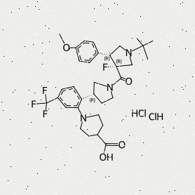 COc1ccc([C@@H]2CN(C(C)(C)C)C[C@@]2(F)C(=O)N2CC[C@H](c3ccc(C(F)(F)F)cc3N3CCC(C(=O)O)CC3)C2)cc1.Cl.Cl